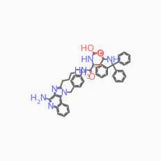 CCCCc1nc2c(N)nc3ccccc3c2n1Cc1ccc(NC(=O)[C@H](CC(=O)NC(c2ccccc2)(c2ccccc2)c2ccccc2)NC(=O)O)cc1